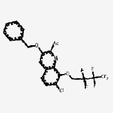 CC(=O)c1nc2c(OCC(F)(F)C(F)(F)C(F)(F)F)c(Cl)ccc2cc1OCc1ccccc1